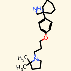 CC1(C)CCCN1CCCOc1ccc(C2(CN)CCCCC2)cc1